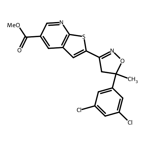 COC(=O)c1cnc2sc(C3=NOC(C)(c4cc(Cl)cc(Cl)c4)C3)cc2c1